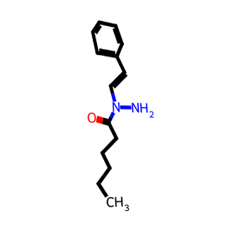 CCCCCC(=O)N(N)C=Cc1ccccc1